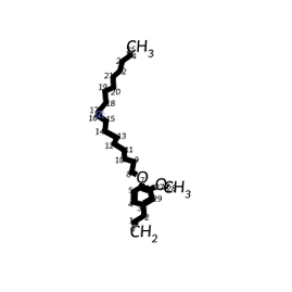 C=CCc1ccc(OCCCCCCCC/C=C\CCCCCCCC)c(OC)c1